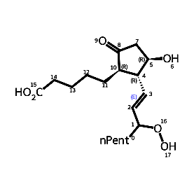 CCCCCC(/C=C/[C@H]1[C@H](O)CC(=O)[C@@H]1CCCCC(=O)O)OO